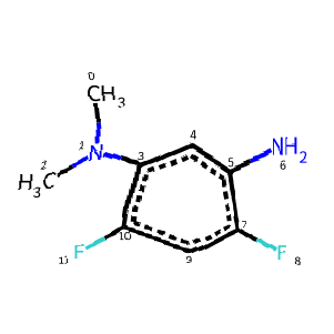 CN(C)c1cc(N)c(F)cc1F